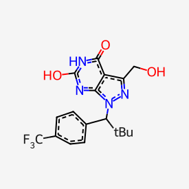 CC(C)(C)C(c1ccc(C(F)(F)F)cc1)n1nc(CO)c2c(=O)[nH]c(O)nc21